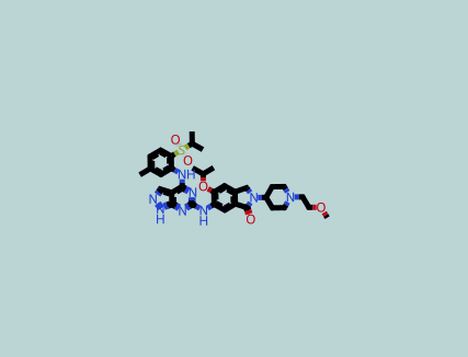 COCCN1CCC(N2Cc3cc(OC(C)C)c(Nc4nc(Nc5cc(C)ccc5S(=O)(=O)C(C)C)c5cn[nH]c5n4)cc3C2=O)CC1